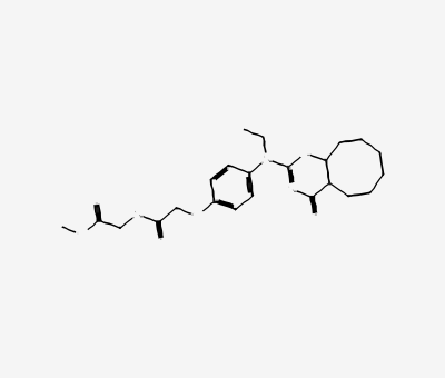 CCN(C1=NC(=O)C2CCCCCCC2S1)c1ccc(OCC(=O)NCC(=O)OC)cc1